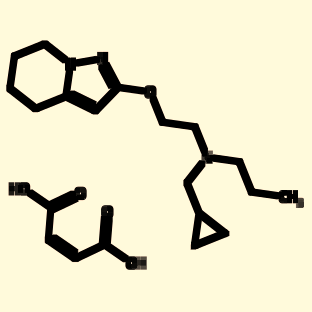 CCCN(CCOc1cc2n(n1)CCCC2)CC1CC1.O=C(O)/C=C\C(=O)O